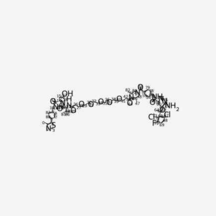 Cc1ncsc1-c1ccc(CNC(=O)[C@@H]2C[C@@H](O)CN2C(=O)[C@@H](NC(=O)CCOCCOCCOCCOCCOCCC(=O)N2[C@H](C)CN(C(=O)c3ccc(NC(=O)c4cc(O[C@H](C)c5c(Cl)ccc(F)c5Cl)c(N)nn4)cc3)C[C@@H]2C)C(C)(C)C)cc1